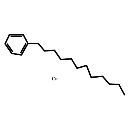 CCCCCCCCCCCCc1ccccc1.[Cu]